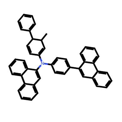 CC1C=C(N(c2ccc(-c3cc4ccccc4c4ccccc34)cc2)c2cc3ccccc3c3ccccc23)C=CC1c1ccccc1